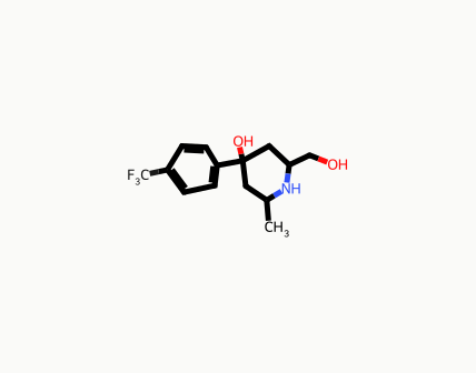 CC1CC(O)(c2ccc(C(F)(F)F)cc2)CC(CO)N1